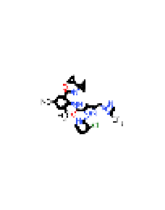 Cc1cc(C#N)cc(C(=O)NC2(C3CC3)CC2)c1NC(=O)c1cc(Cn2ncc(C(F)(F)F)n2)nn1-c1ncccc1Cl